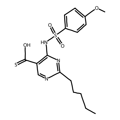 CCCCCc1ncc(C(O)=S)c(NS(=O)(=O)c2ccc(OC)cc2)n1